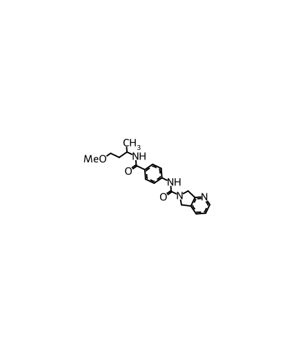 COCCC(C)NC(=O)c1ccc(NC(=O)N2Cc3cccnc3C2)cc1